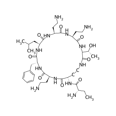 CC[C@H](N)C(=O)N[C@H]1CCNC(=O)C([C@@H](C)O)NC(=O)[C@H](CCN)NC(=O)[C@H](CCN)NC(=O)[C@H](CC(C)C)NC(=O)[C@@H](Cc2ccccc2)NC(=O)[C@H](CCN)NC1=O